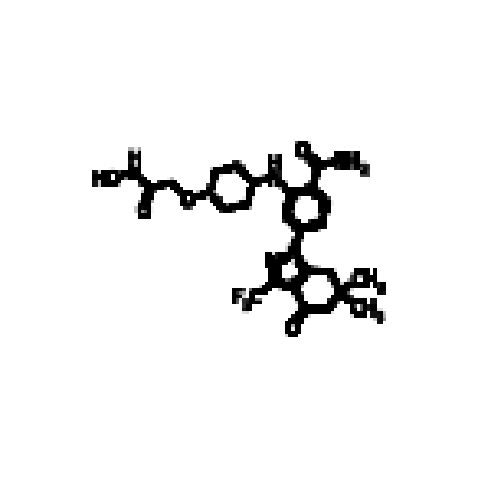 CC1(C)CC(=O)c2c(C(F)(F)F)nn(-c3ccc(C(N)=O)c(NC4CCC(OCC(=O)NO)CC4)c3)c2C1